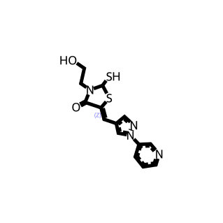 O=C1/C(=C/c2cnn(-c3cccnc3)c2)SC(S)N1CCO